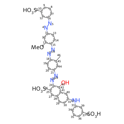 COc1cc(N=Nc2cccc(S(=O)(=O)O)c2)ccc1N=Nc1ccc(N=Nc2c(S(=O)(=O)O)cc3ccc(Nc4cccc(S(=O)(=O)O)c4)cc3c2O)cc1C